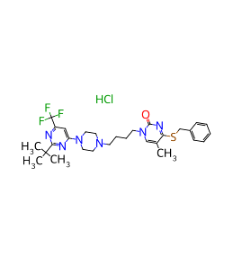 Cc1cn(CCCCN2CCN(c3cc(C(F)(F)F)nc(C(C)(C)C)n3)CC2)c(=O)nc1SCc1ccccc1.Cl